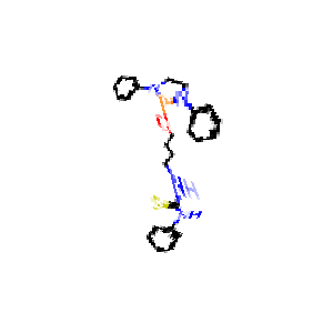 S=C(NCCCCOP1N(c2ccccc2)CCN1c1ccccc1)Nc1ccccc1